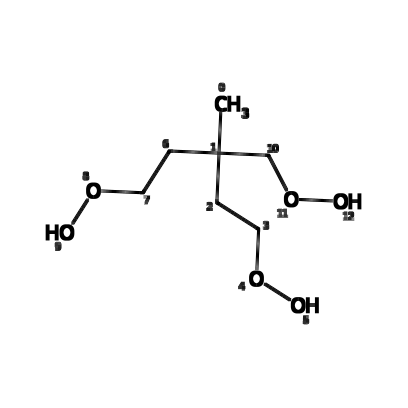 CC(CCOO)(CCOO)COO